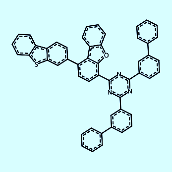 c1ccc(-c2cccc(-c3nc(-c4cccc(-c5ccccc5)c4)nc(-c4ccc(-c5ccc6c(c5)sc5ccccc56)c5c4oc4ccccc45)n3)c2)cc1